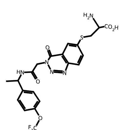 CC(NC(=O)Cn1nnc2ccc(SCC(N)C(=O)O)cc2c1=O)c1ccc(OC(F)(F)F)cc1